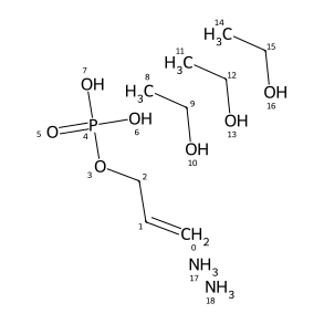 C=CCOP(=O)(O)O.CCO.CCO.CCO.N.N